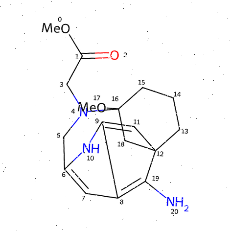 COC(=O)CN1Cc2cc3c([nH]2)=CC2(CCCC1(OC)C2)C=3N